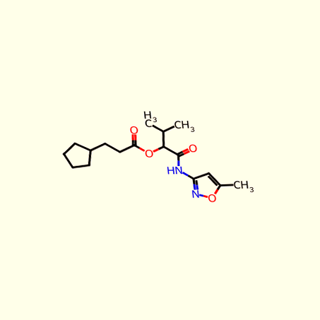 Cc1cc(NC(=O)C(OC(=O)CCC2CCCC2)C(C)C)no1